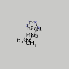 CCCCC/C=C\C/C=C\C/C=C\C/C=C\CCCC(=O)NCCCN(C)C